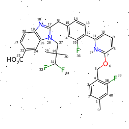 Cc1ccc(COc2cccc(-c3ccc(Cc4nc5ccc(C(=O)O)cc5n4CC(C)(C)C(F)F)cc3F)n2)c(F)c1